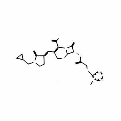 Cn1nnnc1SCC(=O)N[C@@H]1C(=O)N2C(C(=O)[O-])=C(/C=C3\CCN(CC4CC4)C3=O)CS[C@H]12.[Na+]